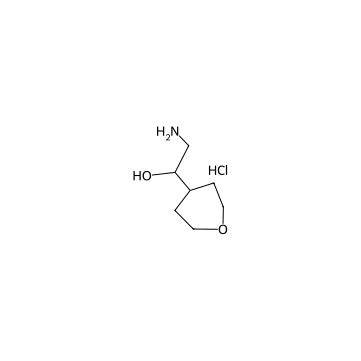 Cl.NCC(O)C1CCOCC1